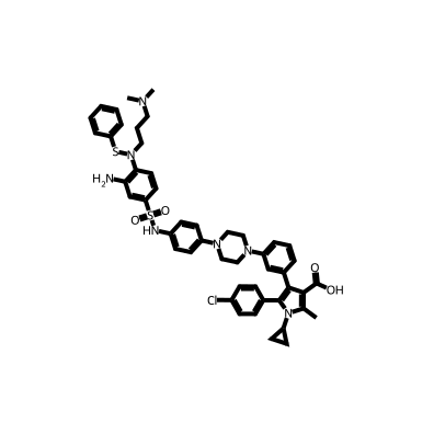 Cc1c(C(=O)O)c(-c2cccc(N3CCN(c4ccc(NS(=O)(=O)c5ccc(N(CCCN(C)C)Sc6ccccc6)c(N)c5)cc4)CC3)c2)c(-c2ccc(Cl)cc2)n1C1CC1